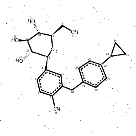 N#Cc1ccc([C@@H]2O[C@H](CO)[C@@H](O)[C@H](O)[C@H]2O)cc1Cc1ccc(C2CC2)cc1